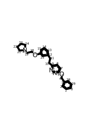 c1ccc(COc2ccc(CCc3cccc(OCCN4CCCC4)c3)nn2)cc1